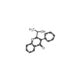 CC(O)c1oc2ccccc2c(=O)c1-c1ccccc1